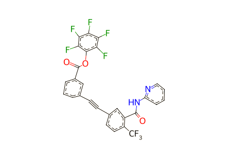 O=C(Oc1c(F)c(F)c(F)c(F)c1F)c1cccc(C#Cc2ccc(C(F)(F)F)c(C(=O)Nc3ccccn3)c2)c1